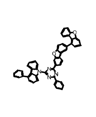 c1ccc(-c2nc(-c3ccc4c(c3)oc3ccc(-c5cccc6oc7ccccc7c56)cc34)nc(-n3c4ccccc4c4c(-c5ccccc5)cccc43)n2)cc1